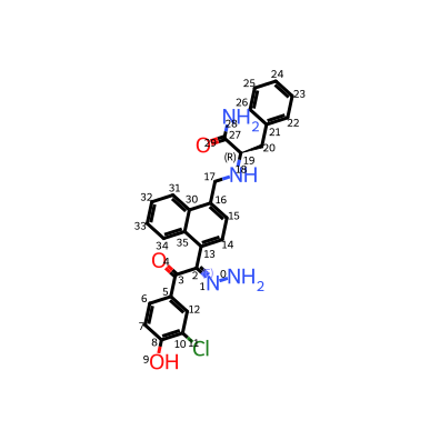 N/N=C(/C(=O)c1ccc(O)c(Cl)c1)c1ccc(CN[C@H](Cc2ccccc2)C(N)=O)c2ccccc12